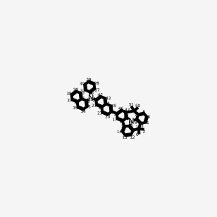 CC1(C)c2cccc3c2-n2c4c1cccc4c1cc(-c4ccc5cc(N(c6ccccc6)c6cccc7ccccc67)ccc5c4)cc(c12)C3(C)C